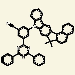 CC1(C)c2cc3c(cc2-c2c1ccc1ccccc21)c1ccccc1n3-c1cc(C#N)cc(-c2nc(-c3cc#ccc3)nc(-c3ccccc3)n2)c1